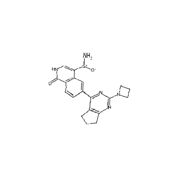 N[S+]([O-])c1c[nH]c(=O)c2ccc(-c3nc(N4CCC4)nc4c3CCC4)cc12